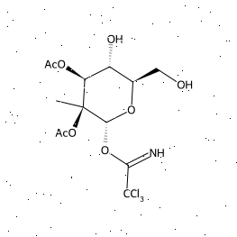 CC(=O)O[C@H]1[C@H](O)[C@@H](CO)O[C@H](OC(=N)C(Cl)(Cl)Cl)[C@@]1(C)OC(C)=O